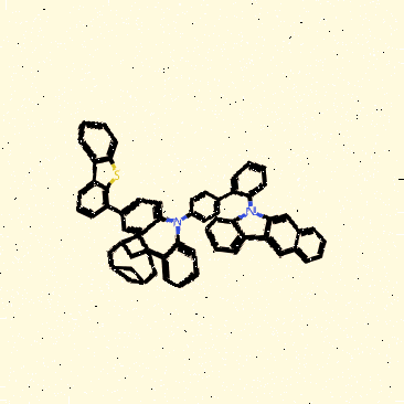 c1ccc(-n2c3ccccc3c3cc4ccccc4cc32)c(-c2ccc(N(c3ccc(-c4cccc5c4sc4ccccc45)cc3)c3ccccc3C34CC5CC(C5)CC(C3)C4)cc2)c1